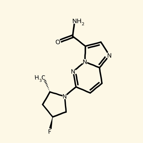 C[C@H]1C[C@H](F)CN1c1ccc2ncc(C(N)=O)n2n1